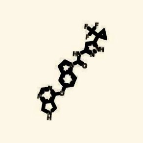 O=C(Nc1cc(C2(C(F)(F)F)CC2)[nH]n1)n1ccc2cc(Oc3ncnc4c3CNC4)ccc21